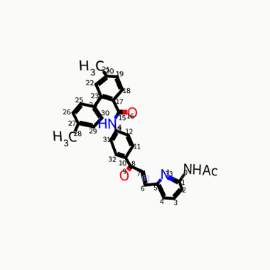 CC(=O)Nc1cccc(/C=C/C(=O)c2ccc(NC(=O)c3ccc(C)cc3-c3ccc(C)cc3)cc2)n1